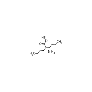 CCCCC(CCCC)C(=O)OS.[SnH4]